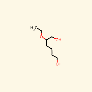 CCOC(CO)CCCCO